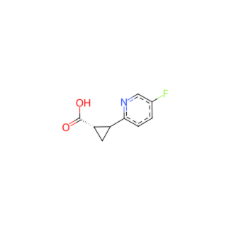 O=C(O)[C@H]1CC1c1ccc(F)cn1